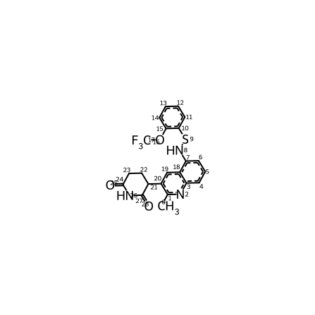 Cc1nc2cccc(NSc3ccccc3OC(F)(F)F)c2cc1C1CCC(=O)NC1=O